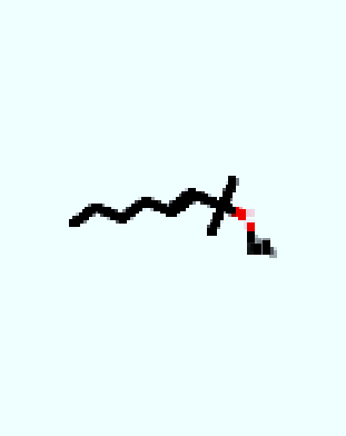 CCCCC=CC(C)(C)O[SiH3]